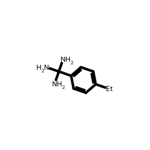 CCc1ccc(C(N)(N)N)cc1